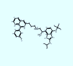 CC(C)Oc1nc2c(OC(C)(C)C)ccc([C@@H](O)CNCCCc3cc4cccnc4c(-c4cccc(F)c4)n3)c2s1